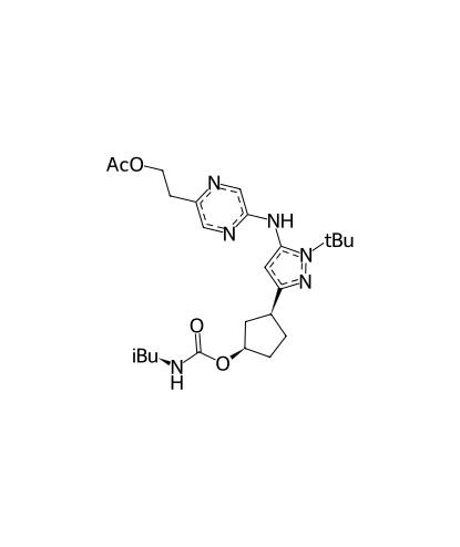 CC[C@H](C)NC(=O)O[C@@H]1CC[C@H](c2cc(Nc3cnc(CCOC(C)=O)cn3)n(C(C)(C)C)n2)C1